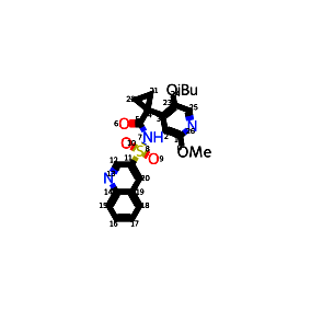 COc1cc(C2(C(=O)NS(=O)(=O)c3cnc4ccccc4c3)CC2)c(OCC(C)C)cn1